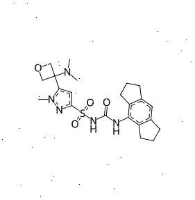 CN(C)C1(c2cc(S(=O)(=O)NC(=O)Nc3c4c(cc5c3CCC5)CCC4)nn2C)COC1